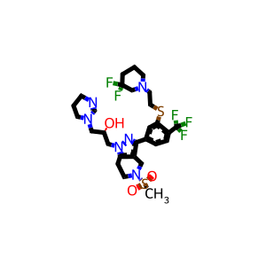 CS(=O)(=O)N1CCc2c(c(-c3ccc(C(F)(F)F)c(SCCN4CCCC(F)(F)C4)c3)nn2C[C@@H](O)CN2C=NCCC2)C1